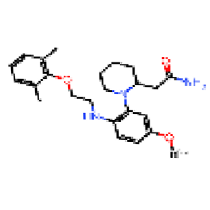 CCCOc1ccc(NCCOc2c(C)cccc2C)c(N2CCCCC2CC(N)=O)c1